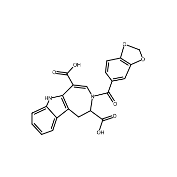 O=C(O)C1=CN(C(=O)c2ccc3c(c2)OCO3)C(C(=O)O)Cc2c1[nH]c1ccccc21